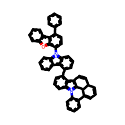 C1=CC2C=Cc3c4n(c5cccc(-c6cccc7c6c6ccccc6n7-c6ccc(-c7ccccc7)c7c6oc6ccccc67)c35)-c3ccccc3C(=C1)C42